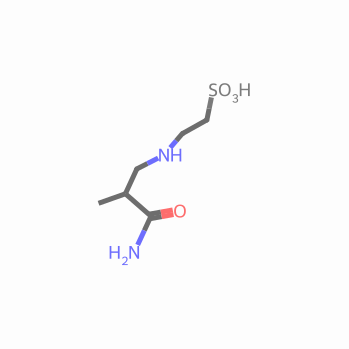 CC(CNCCS(=O)(=O)O)C(N)=O